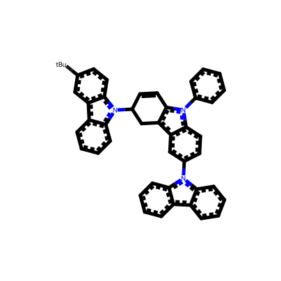 CC(C)(C)c1ccc2c(c1)c1ccccc1n2C1C=Cc2c(c3cc(-n4c5ccccc5c5ccccc54)ccc3n2-c2ccccc2)C1